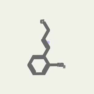 O=[N+]([O-])c1ccccc1/C=C/CCl